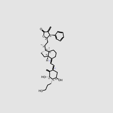 C=C1/C(=C\C=C2/CCC[C@]3(C)[C@@H]([C@H](C)C[C@H]4OC(=O)C(=C)[C@H]4c4ccccc4)CC[C@@H]23)C[C@@H](O)[C@H](CCCO)[C@@H]1O